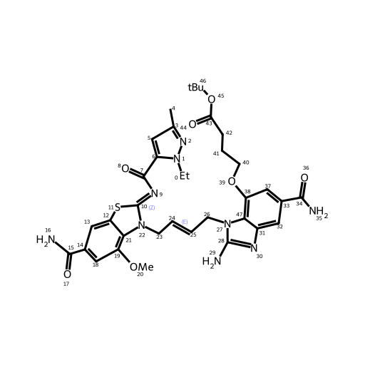 CCn1nc(C)cc1C(=O)/N=c1\sc2cc(C(N)=O)cc(OC)c2n1C/C=C/Cn1c(N)nc2cc(C(N)=O)cc(OCCCC(=O)OC(C)(C)C)c21